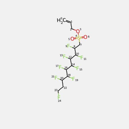 C=CCOS(=O)(=O)CC(F)C(F)C(F)C(F)C(F)C(F)C(F)CCF